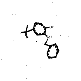 CC(C)(C)c1ccc(O)c(NCc2ccccc2)c1